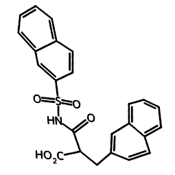 O=C(O)C(Cc1ccc2ccccc2c1)C(=O)NS(=O)(=O)c1ccc2ccccc2c1